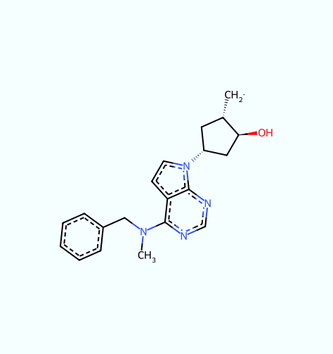 [CH2][C@H]1C[C@@H](n2ccc3c(N(C)Cc4ccccc4)ncnc32)C[C@@H]1O